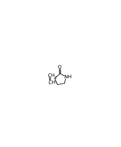 O=C1CCCN1.[CH]=C